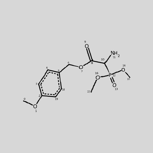 COc1ccc(COC(=O)C(N)P(=O)(OC)OC)cc1